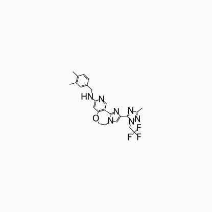 Cc1nc(-c2cn3c(n2)-c2cnc(NCc4ccc(C)c(C)c4)cc2OCC3)n(CC(F)(F)F)n1